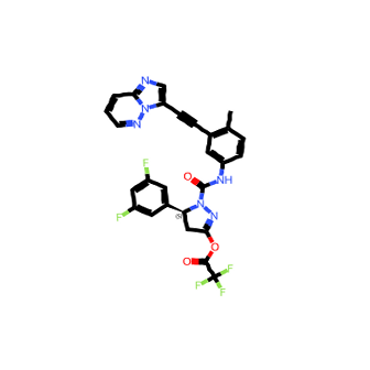 Cc1ccc(NC(=O)N2N=C(OC(=O)C(F)(F)F)C[C@H]2c2cc(F)cc(F)c2)cc1C#Cc1cnc2cccnn12